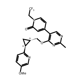 COc1ccc([C@H]2C[C@@H]2COc2nc(C)ncc2-c2ccn(CC(F)(F)F)c(=O)c2)nc1